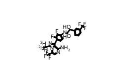 [2H]C([2H])([2H])c1nc(-c2ccc(NC(=O)C(O)c3cccc(C(F)(F)F)c3)c(F)c2F)c2c(N)ncc(C(F)(F)F)n12